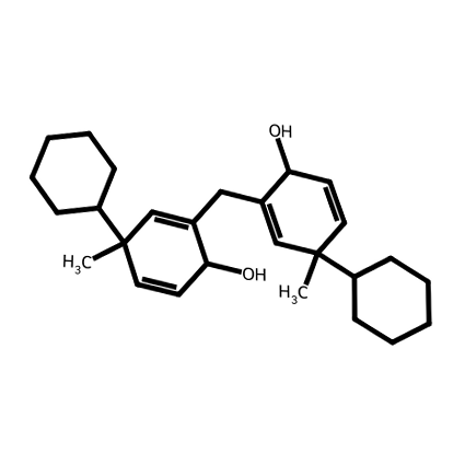 CC1(C2CCCCC2)C=CC(O)C(CC2=CC(C)(C3CCCCC3)C=CC2O)=C1